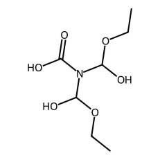 CCOC(O)N(C(=O)O)C(O)OCC